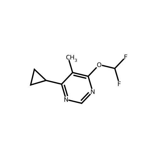 Cc1c(OC(F)F)ncnc1C1CC1